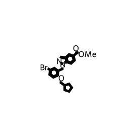 COC(=O)c1ccc2c(cnn2Cc2cc(Br)ccc2OCC2CCCC2)c1